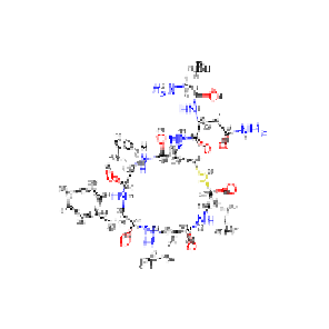 CC[C@H](C)[C@H](N)C(=O)N[C@@H](CC(N)=O)C(=O)N[C@H]1CSC(=O)[C@H](CC(C)C)NC(=O)[C@H](CC(C)C)NC(=O)[C@H](Cc2ccccc2)NC(=O)[C@H](CC(=O)O)NC1=O